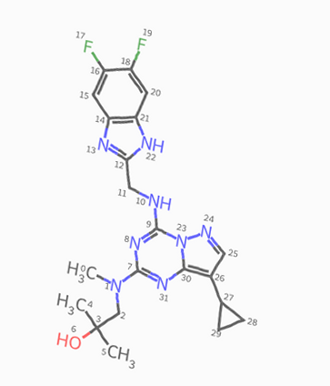 CN(CC(C)(C)O)c1nc(NCc2nc3cc(F)c(F)cc3[nH]2)n2ncc(C3CC3)c2n1